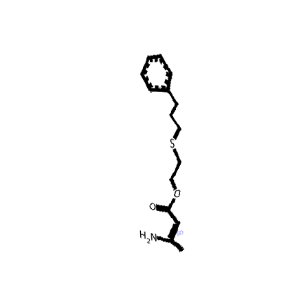 C/C(N)=C/C(=O)OCCSCCCc1ccccc1